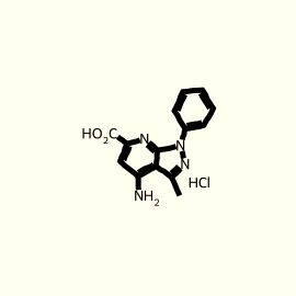 Cc1nn(-c2ccccc2)c2nc(C(=O)O)cc(N)c12.Cl